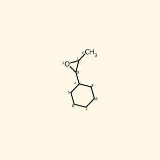 C[C]1OC1C1CCCCC1